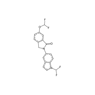 O=C1c2cc(OC(F)F)ccc2CN1c1ccc2c(ccn2C(F)F)c1